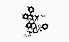 COC(=O)NC(C(=O)Nc1cccc(F)c1CCC1CN(C(=O)OC(C)(C)C)CCN1S(=O)(=O)c1ccccc1)C(c1cccc(F)c1)c1cccc(F)c1